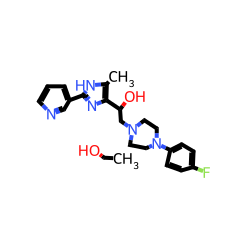 CCO.Cc1[nH]c(-c2cccnc2)nc1C(O)CN1CCN(c2ccc(F)cc2)CC1